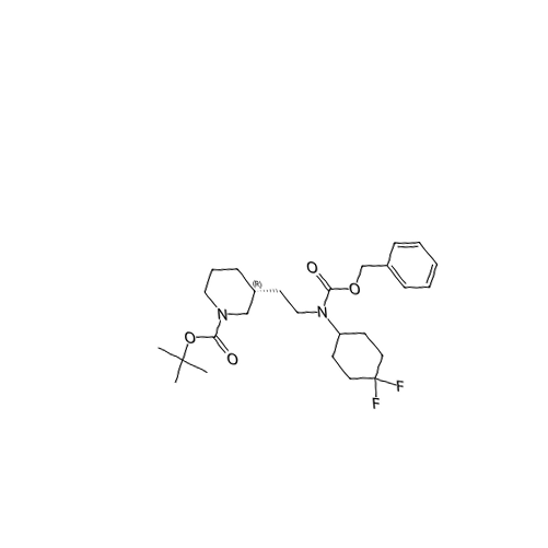 CC(C)(C)OC(=O)N1CCC[C@H](CCN(C(=O)OCc2ccccc2)C2CCC(F)(F)CC2)C1